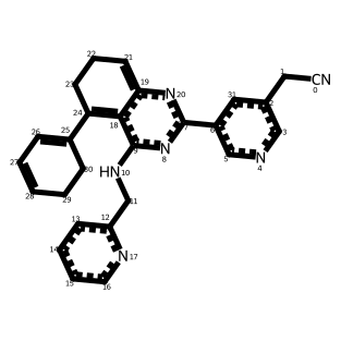 N#CCc1cncc(-c2nc(NCc3ccccn3)c3c(n2)=CCCC=3C2=CC=CCC2)c1